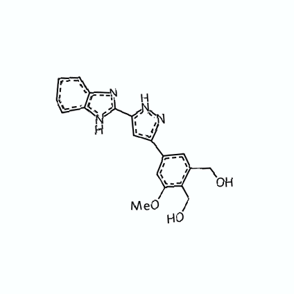 COc1cc(-c2cc(-c3nc4ccccc4[nH]3)[nH]n2)cc(CO)c1CO